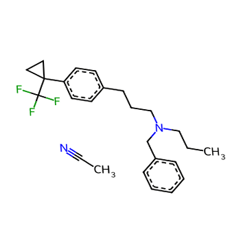 CC#N.CCCN(CCCc1ccc(C2(C(F)(F)F)CC2)cc1)Cc1ccccc1